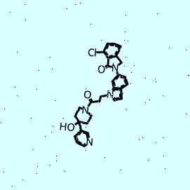 O=C(CCn1ccc2ccc(N3Cc4cccc(Cl)c4C3=O)cc21)N1CCC(O)(c2cccnc2)CC1